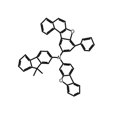 CC1(C)c2ccccc2-c2ccc(N(c3ccc4c(c3)oc3ccccc34)c3cc(-c4ccccc4)c4oc5ccc6ccccc6c5c4c3)cc21